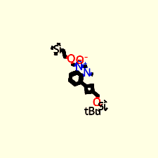 CN1C[N+]([O-])(COCC[Si](C)(C)C)c2cccc(C3CC(CO[Si](C)(C)C(C)(C)C)C3)c21